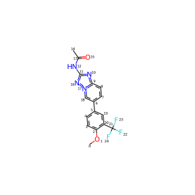 COc1ccc(-c2ccc3nc(NC(C)=O)nn3c2)cc1C(F)(F)F